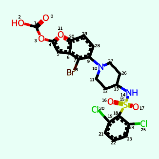 O=C(O)Oc1cc2c(Br)c(N3CCC(NS(=O)(=O)c4c(Cl)cccc4Cl)CC3)ccc2o1